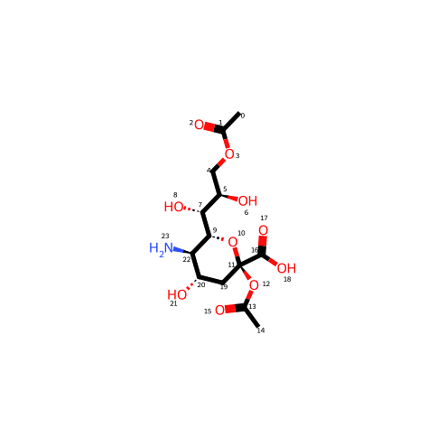 CC(=O)OC[C@@H](O)[C@@H](O)[C@@H]1O[C@](OC(C)=O)(C(=O)O)C[C@H](O)[C@H]1N